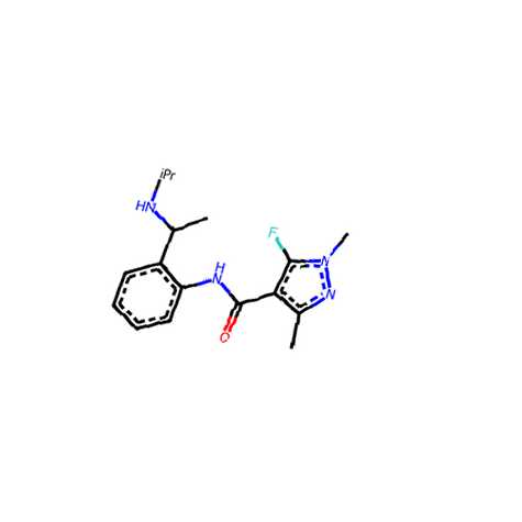 Cc1nn(C)c(F)c1C(=O)Nc1ccccc1C(C)NC(C)C